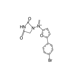 C=[N+](c1ccc(-c2ccc(Br)cc2)o1)N1CC(=O)NC1=O